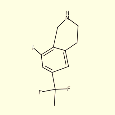 CC(F)(F)c1cc(I)c2c(c1)CCNC2